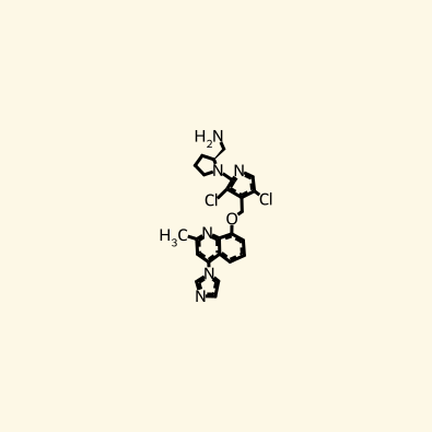 Cc1cc(-n2ccnc2)c2cccc(OCc3c(Cl)cnc(N4CCC[C@H]4CN)c3Cl)c2n1